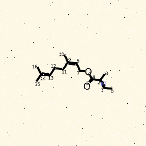 C/C=C(\C)C(=O)OCC=C(C)CCC=C(C)C